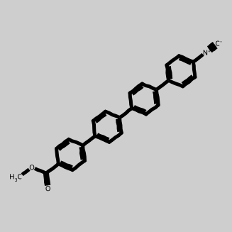 [C-]#[N+]c1ccc(-c2ccc(-c3ccc(-c4ccc(C(=O)OC)cc4)cc3)cc2)cc1